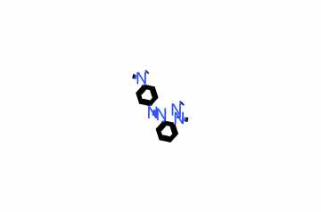 C=NN(C)c1ccccc1N=Nc1ccc(N(C)C)cc1